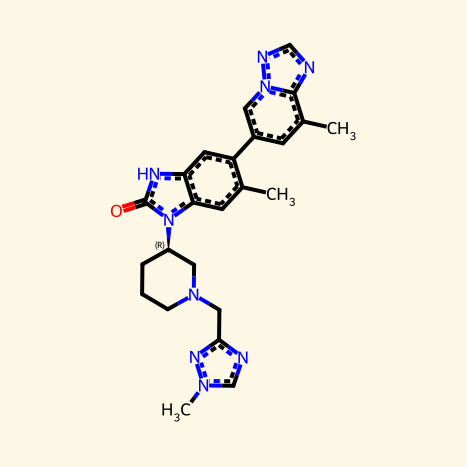 Cc1cc2c(cc1-c1cc(C)c3ncnn3c1)[nH]c(=O)n2[C@@H]1CCCN(Cc2ncn(C)n2)C1